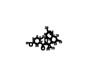 COc1ccc(C)c(C(=O)NC2(c3cc(C)cc4nc(C)ccc34)CC2)c1